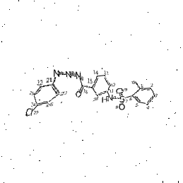 Cc1ccccc1S(=O)(=O)Nc1cccc(C(=O)N=[N+]=Nc2ccc(Cl)cc2)c1